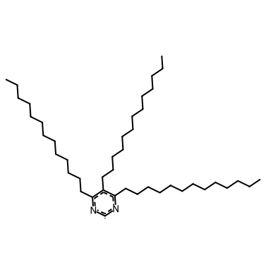 CCCCCCCCCCCCCc1n[c]nc(CCCCCCCCCCCCC)c1CCCCCCCCCCCCC